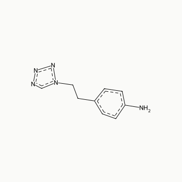 Nc1ccc(CCn2cnnn2)cc1